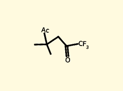 CC(=O)C(C)(C)CC(=O)C(F)(F)F